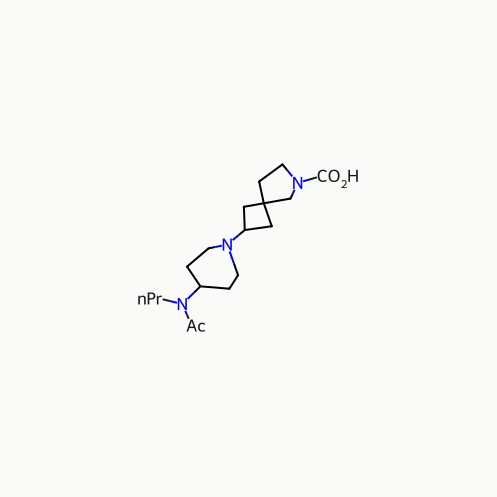 CCCN(C(C)=O)C1CCN(C2CC3(CCN(C(=O)O)C3)C2)CC1